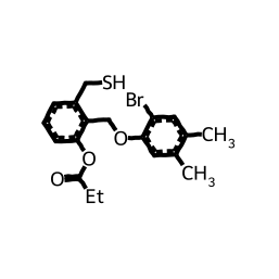 CCC(=O)Oc1cccc(CS)c1COc1cc(C)c(C)cc1Br